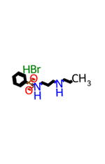 Br.CCCNCCCNS(=O)(=O)c1ccccc1